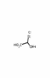 CCC(O)C(=O)O.[C]